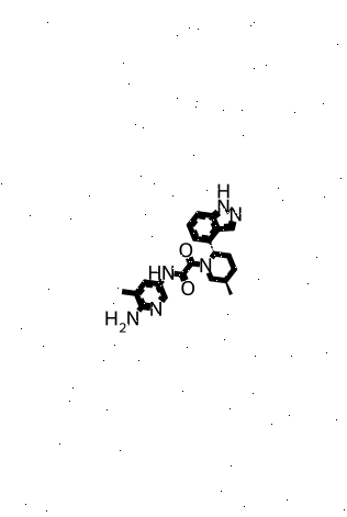 Cc1cc(NC(=O)C(=O)N2C[C@H](C)CC[C@H]2c2cccc3[nH]ncc23)cnc1N